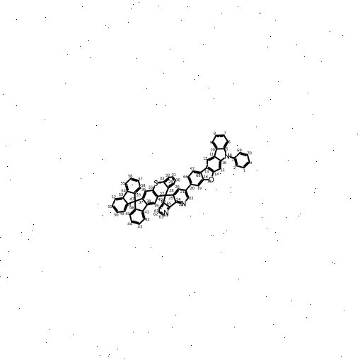 c1ccc(-n2c3ccccc3c3cc4c(cc32)oc2cc(-c3cnc5c(c3)C3(c6ccccc6Sc6cc7c(cc63)-c3ccccc3C73c6ccccc6-c6ccccc63)c3cccnc3-5)ccc24)cc1